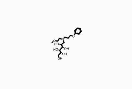 COCCN(CCCOc1ccccc1)C[C@H](O)[C@@H](O)[C@H](O)[C@H](O)CO